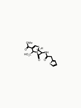 COC(=O)C1=CS[C@H]2C(NC(=O)Cc3cccs3)C(=O)N2C1C(=O)O